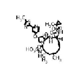 Cc1cnc(-c2cc(O[C@@H]3C[C@H]4C(=O)N[C@]5(C(=O)NS(=O)(=O)C6(C)CC6)C[C@H]5C=CCC[C@@H](C)C[C@@H](C)[C@H](NC(=O)O)C(=O)N4C3)ccn2)s1